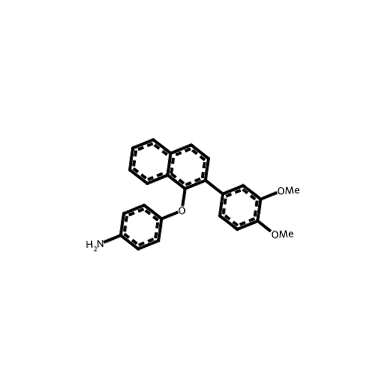 COc1ccc(-c2ccc3ccccc3c2Oc2ccc(N)cc2)cc1OC